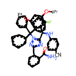 CCOc1cc(OC(C)C)c(F)c(C(Nc2ccc(C#N)cc2)c2nc(-c3ccccc3C(N)=O)nn2C(c2ccccc2)(c2ccccc2)c2ccccc2)c1